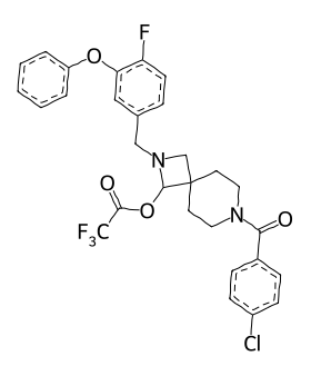 O=C(c1ccc(Cl)cc1)N1CCC2(CC1)CN(Cc1ccc(F)c(Oc3ccccc3)c1)C2OC(=O)C(F)(F)F